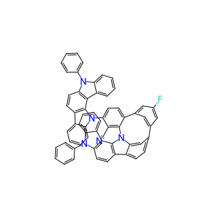 N#Cc1c(-n2c3ccccc3c3ccc4c(c5ccccc5n4-c4ccccc4)c32)ccc2c3cc(F)cc(c3)c3ccc4c5ccc6c(c7ccccc7n6-c6ccccc6)c5n(c4c3)c12